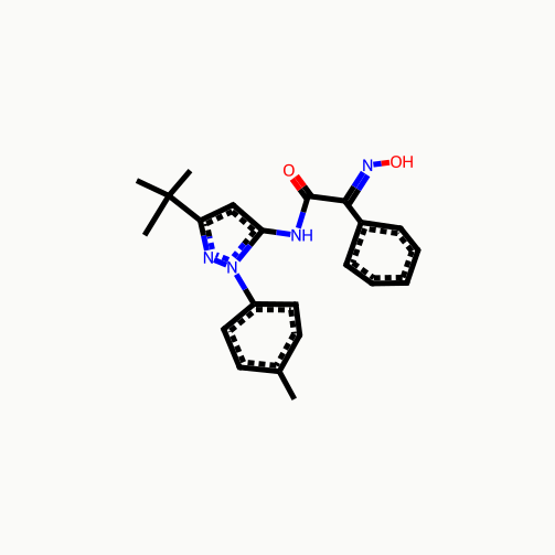 Cc1ccc(-n2nc(C(C)(C)C)cc2NC(=O)/C(=N/O)c2ccccc2)cc1